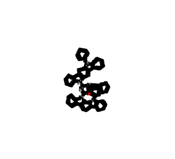 C1=CCC=C(n2c3c(c4ccc5c6ccccc6n(-c6nc(-c7ccccc7)nc(-n7c8ccccc8c8cc9c(cc87)c7ccccc7n9-c7ccccc7)n6)c5c42)CCC=C3)C=C1